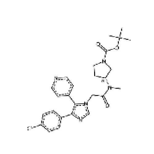 CN(C(=O)Cn1cnc(-c2ccc(Cl)cc2)c1-c1ccncc1)[C@@H]1CCN(C(=O)OC(C)(C)C)C1